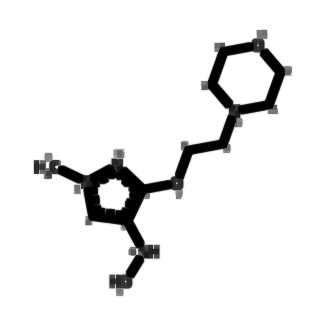 Cn1cc(NO)c(OCCN2CCOCC2)n1